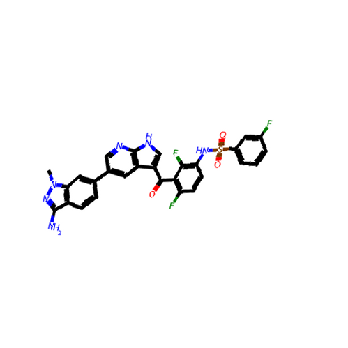 Cn1nc(N)c2ccc(-c3cnc4[nH]cc(C(=O)c5c(F)ccc(NS(=O)(=O)c6cccc(F)c6)c5F)c4c3)cc21